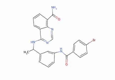 CC(Nc1ncnc2c(C(N)=O)cccc12)c1cccc(NC(=O)c2ccc(Br)cc2)c1